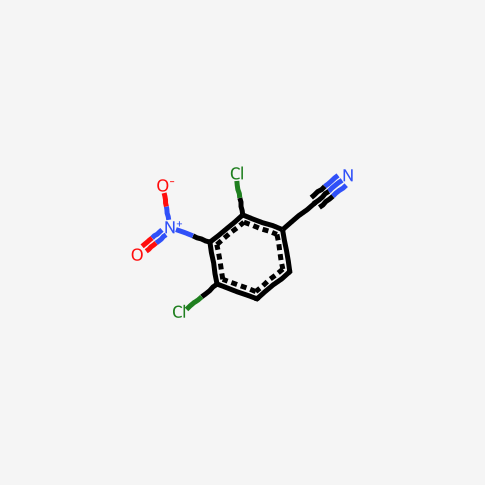 N#Cc1ccc(Cl)c([N+](=O)[O-])c1Cl